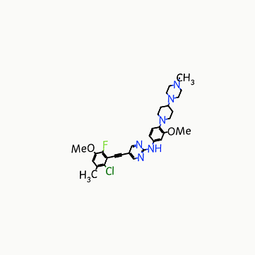 COc1cc(Nc2ncc(C#Cc3c(F)c(OC)cc(C)c3Cl)cn2)ccc1N1CCC(N2CCN(C)CC2)CC1